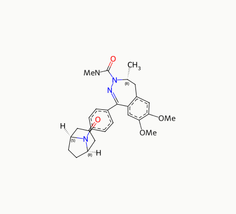 CNC(=O)N1N=C(c2ccc(N3[C@@H]4CC[C@H]3CC(=O)C4)cc2)c2cc(OC)c(OC)cc2C[C@H]1C